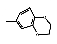 Cc1ccc2c(c1)OCCO2